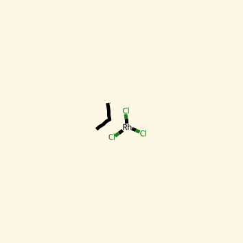 [CH2]CC.[Cl][Rh]([Cl])[Cl]